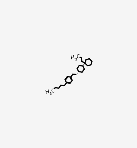 CCCCCc1ccc(CC[C@H]2CC[C@H](C3(CCC)CCCCC3)CC2)cc1